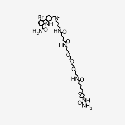 CN(CCCCNC(=O)CCCC(=O)NCCCOCCOCCOCCCNC(=O)CCCC[C@H]1C[C@@H](NC(N)=O)CS1)CC1CCc2c([nH]c3c(C(N)=O)ccc(Br)c23)C1